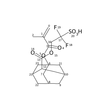 C=C(C)C(=O)OC12CC3CC(C1)C(C(=O)OCC(F)(F)S(=O)(=O)O)C(C3)C2